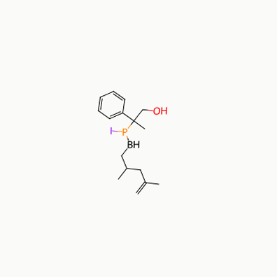 C=C(C)CC(C)CBP(I)C(C)(CO)c1ccccc1